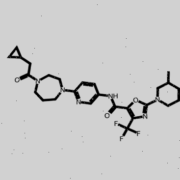 CC1CCCN(c2nc(C(F)(F)F)c(C(=O)Nc3ccc(N4CCCN(C(=O)CC5CC5)CC4)nc3)o2)C1